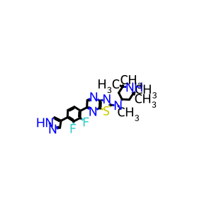 CN(c1nc2ncc(-c3ccc(-c4cn[nH]c4)c(F)c3F)nc2s1)C1CC(C)(C)NC(C)(C)C1